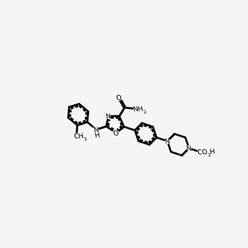 Cc1ccccc1Nc1nc(C(N)=O)c(-c2ccc(N3CCN(C(=O)O)CC3)cc2)o1